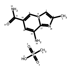 CS(=O)(=O)O.Cc1cn2cc(C(N)=O)cc(N)c2n1